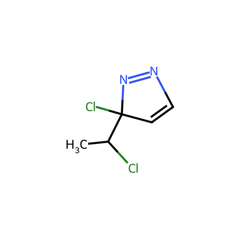 CC(Cl)C1(Cl)C=CN=N1